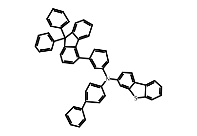 c1ccc(-c2ccc(N(c3cccc(-c4cccc5c4-c4ccccc4C5(c4ccccc4)c4ccccc4)c3)c3ccc4c(c3)sc3ccccc34)cc2)cc1